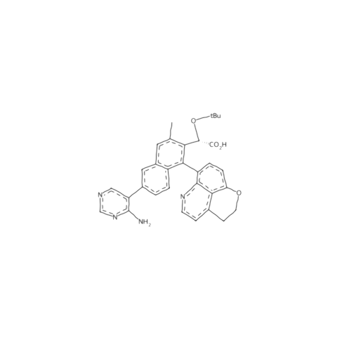 Cc1cc2cc(-c3cncnc3N)ccc2c(-c2ccc3c4c(ccnc24)CCO3)c1[C@H](OC(C)(C)C)C(=O)O